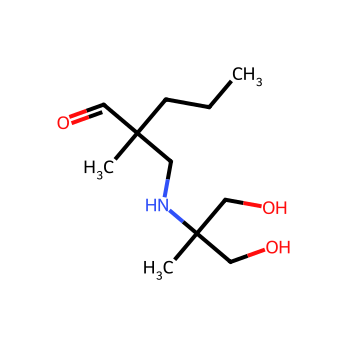 CCCC(C)(C=O)CNC(C)(CO)CO